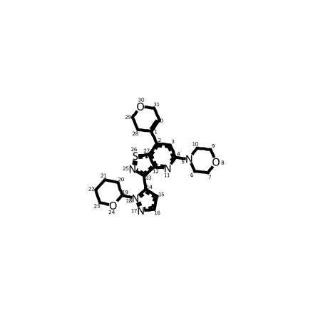 C1=C(c2cc(N3CCOCC3)nc3c(-c4ccnn4C4CCCCO4)nsc23)CCOC1